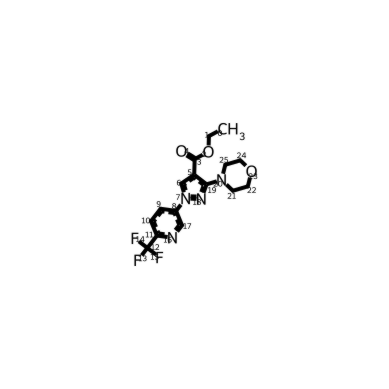 CCOC(=O)c1cn(-c2ccc(C(F)(F)F)nc2)nc1N1CCOCC1